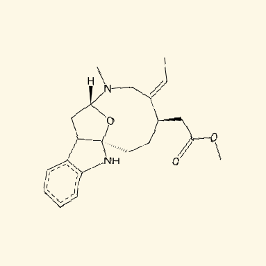 C/C=C1\CN(C)[C@H]2CC3c4ccccc4N[C@]3(CC[C@@H]1CC(=O)OC)O2